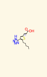 CCCCCc1sc(/C=C/C(=O)O)cc1-c1nnn[nH]1